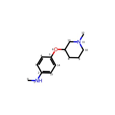 CNc1ccc(OC2CCCN(C)C2)cc1